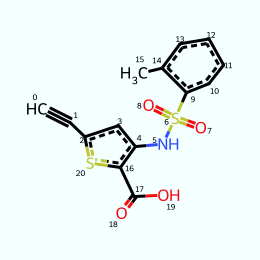 C#Cc1cc(NS(=O)(=O)c2ccccc2C)c(C(=O)O)s1